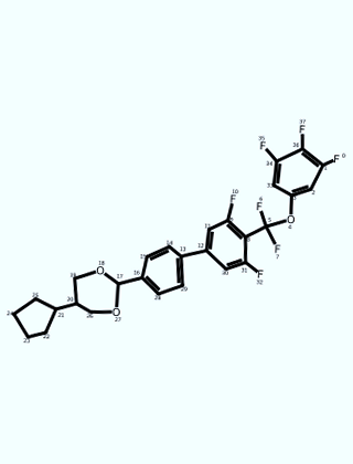 Fc1cc(OC(F)(F)c2c(F)cc(-c3ccc(C4OCC(C5CCCC5)CO4)cc3)cc2F)cc(F)c1F